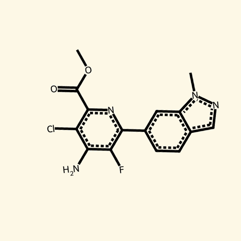 COC(=O)c1nc(-c2ccc3cnn(C)c3c2)c(F)c(N)c1Cl